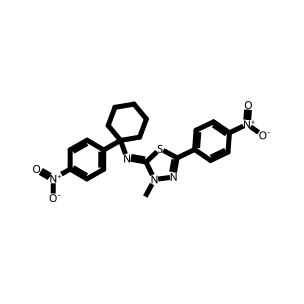 Cn1nc(-c2ccc([N+](=O)[O-])cc2)sc1=NC1(c2ccc([N+](=O)[O-])cc2)CCCCC1